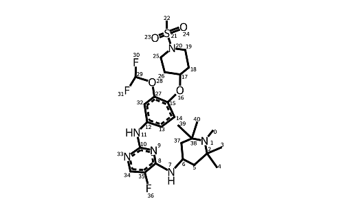 CN1C(C)(C)CC(Nc2nc(Nc3ccc(OC4CCN(S(C)(=O)=O)CC4)c(OC(F)F)c3)ncc2F)CC1(C)C